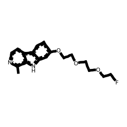 Cc1nccc2c1[nH]c1cc(OCCOCCOCCF)ccc12